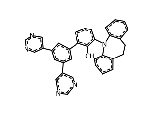 Cc1c(-c2cc(-c3cncnc3)cc(-c3cncnc3)c2)cccc1N1c2ccccc2CCc2ccccc21